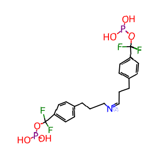 OP(O)OC(F)(F)c1ccc(CC/C=N\CCCc2ccc(C(F)(F)OP(O)O)cc2)cc1